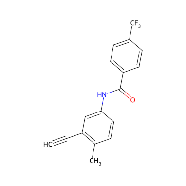 C#Cc1cc(NC(=O)c2ccc(C(F)(F)F)cc2)ccc1C